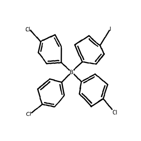 Clc1ccc([B-](c2ccc(Cl)cc2)(c2ccc(Cl)cc2)c2ccc(I)cc2)cc1